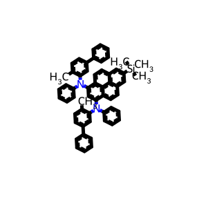 Cc1ccc(-c2ccccc2)cc1N(c1ccccc1)c1cc(N(c2ccccc2)c2cc(-c3ccccc3)ccc2C)c2ccc3cc([Si](C)(C)C)cc4ccc1c2c43